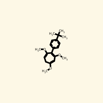 COC1=CC(OC)=C(c2ccc(C(C)(C)C)cc2)C(OC)=CC1